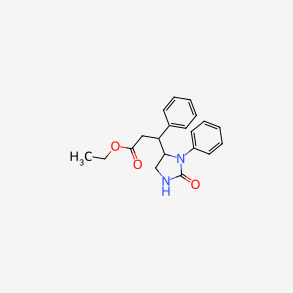 CCOC(=O)CC(c1ccccc1)C1CNC(=O)N1c1ccccc1